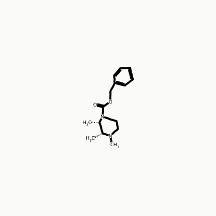 C[C@@H]1[C@H](C)N(C(=O)OCc2ccccc2)CCN1C